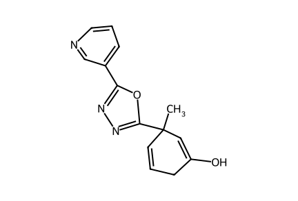 CC1(c2nnc(-c3cccnc3)o2)C=CCC(O)=C1